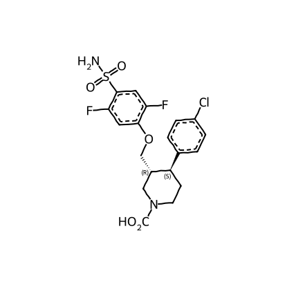 NS(=O)(=O)c1cc(F)c(OC[C@H]2CN(C(=O)O)CC[C@@H]2c2ccc(Cl)cc2)cc1F